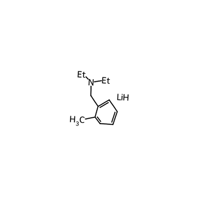 CCN(CC)Cc1ccccc1C.[LiH]